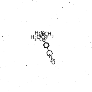 CC1(C)OB(c2ccc(C3CCN(C4COC4)CC3)cc2)OC1(C)C